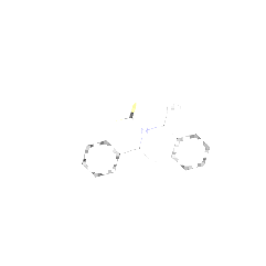 CCCC(c1ccccc1)N(C([S])=S)C(CCC)c1ccccc1